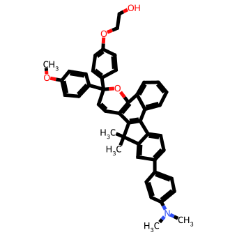 COc1ccc(C2(c3ccc(OCCO)cc3)C=Cc3c4c(c5ccccc5c3O2)-c2ccc(-c3ccc(N(C)C)cc3)cc2C4(C)C)cc1